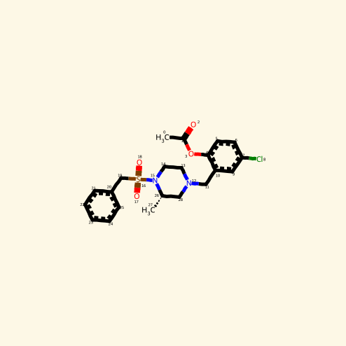 CC(=O)Oc1ccc(Cl)cc1CN1CCN(S(=O)(=O)Cc2ccccc2)[C@@H](C)C1